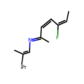 C\C=C(F)/C=C\C(C)=N\C=C(/C)C(C)C